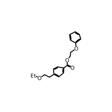 CCOCCc1ccc(C(=O)OCCOc2ccccc2)cc1